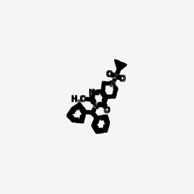 Cc1nc2c(c(=O)n1C(c1ccccc1)c1ccccc1)CCN(S(=O)(=O)C1CC1)C2